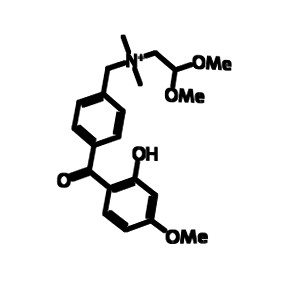 COc1ccc(C(=O)c2ccc(C[N+](C)(C)CC(OC)OC)cc2)c(O)c1